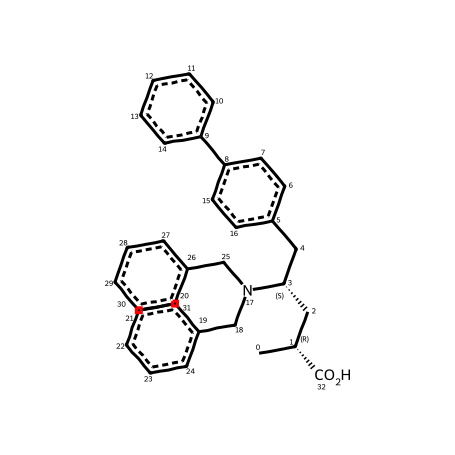 C[C@H](C[C@@H](Cc1ccc(-c2ccccc2)cc1)N(Cc1ccccc1)Cc1ccccc1)C(=O)O